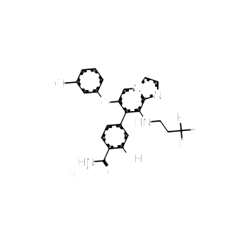 CNC(=O)c1ccc(-c2c(Oc3cccc(Cl)c3)cn3ccnc3c2NCCC(F)(F)F)cc1C